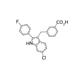 O=C(O)c1cccc(Cc2c(-c3ccc(F)cc3)[nH]c3cc(Cl)ccc23)c1